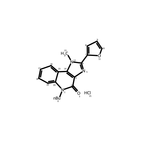 CCCCn1c(=O)c2nc(-c3ccco3)n(C)c2c2ccccc21.Cl